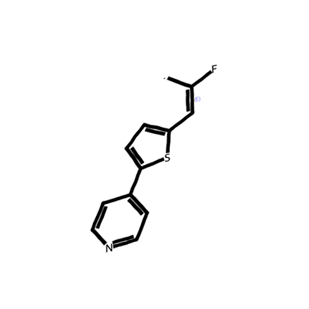 [CH2]/C(F)=C\c1ccc(-c2ccncc2)s1